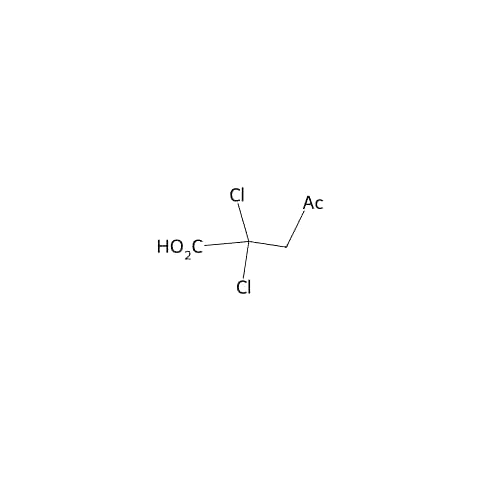 CC(=O)CC(Cl)(Cl)C(=O)O